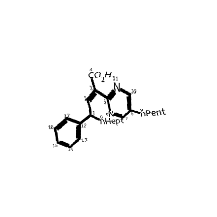 CCCCCCCC(/C=C(/C(=O)O)c1ncc(CCCCC)cn1)c1ccccc1